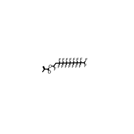 C=C(C)C(=O)OC(F)CC(F)(F)C(F)(F)C(F)(F)C(F)(F)C(F)(F)C(F)(F)C(F)(F)C(F)F